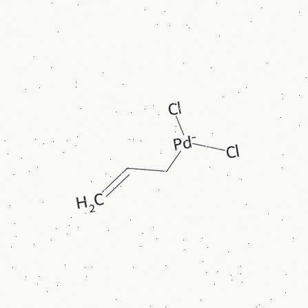 C=C[CH2][Pd-]([Cl])[Cl]